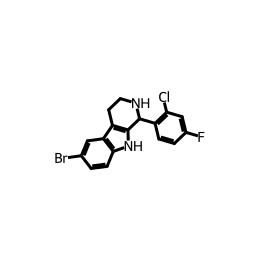 Fc1ccc(C2NCCc3c2[nH]c2ccc(Br)cc32)c(Cl)c1